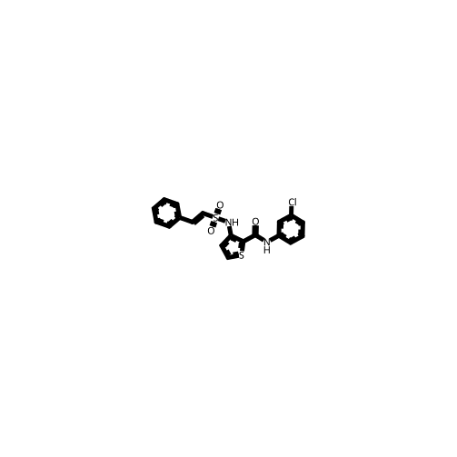 O=C(Nc1cccc(Cl)c1)c1sccc1NS(=O)(=O)C=Cc1ccccc1